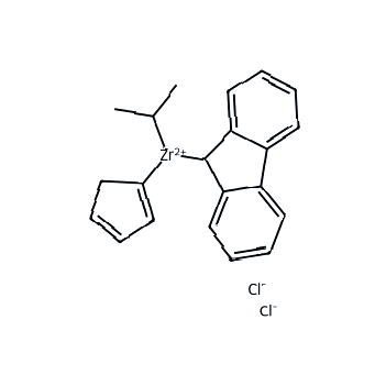 C[CH](C)[Zr+2]([C]1=CC=CC1)[CH]1c2ccccc2-c2ccccc21.[Cl-].[Cl-]